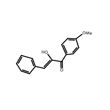 COc1ccc(C(=O)C(O)=Cc2ccccc2)cc1